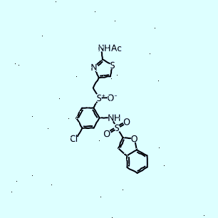 CC(=O)Nc1nc(C[S+]([O-])c2ccc(Cl)cc2NS(=O)(=O)c2cc3ccccc3o2)cs1